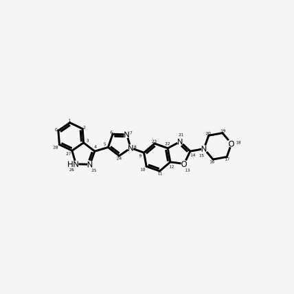 c1ccc2c(-c3cnn(-c4ccc5oc(N6CCOCC6)nc5c4)c3)n[nH]c2c1